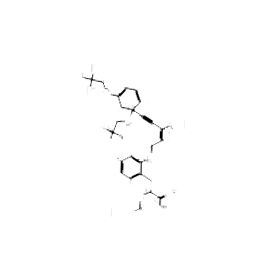 CCO[C@@H](Cc1ccccc1OCC=C(C)C#CC1(OCC(F)(F)F)C=CC=C(OCC(F)(F)F)C1)C(=O)O